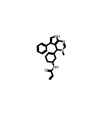 C=CC(=O)NC1CCC=C(C2c3c(-c4ccccc4)c[nH]c3N=CN2C)C1